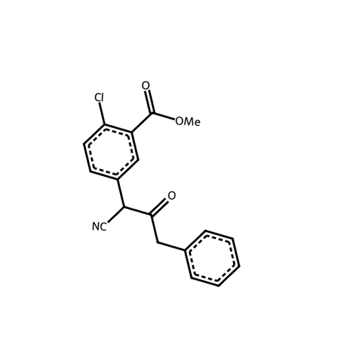 COC(=O)c1cc(C(C#N)C(=O)Cc2ccccc2)ccc1Cl